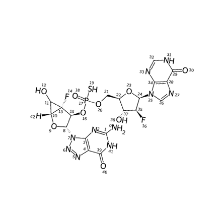 Nc1nc2c(nnn2[C@@H]2O[C@@H]3C(O)[C@@]3(F)[C@H]2OP(=O)(S)OC[C@H]2O[C@@H](n3cnc4c(=O)[nH]cnc43)[C@@H](F)[C@@H]2O)c(=O)[nH]1